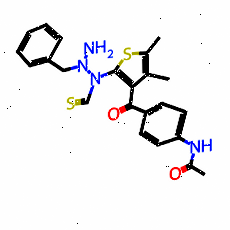 CC(=O)Nc1ccc(C(=O)c2c(N(C=S)N(N)Cc3ccccc3)sc(C)c2C)cc1